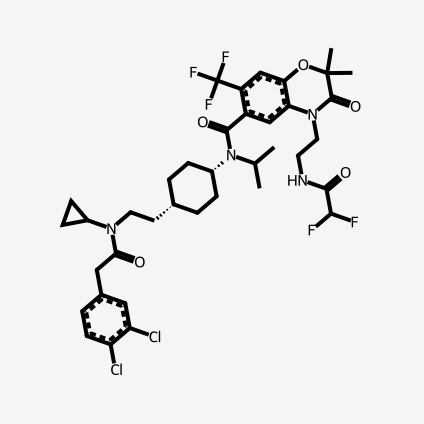 CC(C)N(C(=O)c1cc2c(cc1C(F)(F)F)OC(C)(C)C(=O)N2CCNC(=O)C(F)F)[C@H]1CC[C@@H](CCN(C(=O)Cc2ccc(Cl)c(Cl)c2)C2CC2)CC1